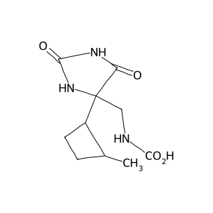 CC1CCC1C1(CNC(=O)O)NC(=O)NC1=O